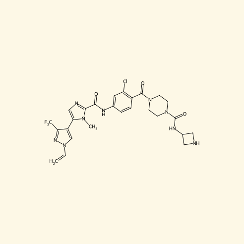 C=Cn1cc(-c2cnc(C(=O)Nc3ccc(C(=O)N4CCN(C(=O)NC5CNC5)CC4)c(Cl)c3)n2C)c(C(F)(F)F)n1